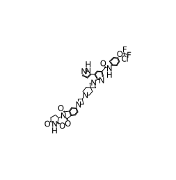 O=C1CCC(N2C(=O)c3ccc(N4CC(N5CCC6(CC5)CN(c5ncc(C(=O)Nc7ccc(OC(F)(F)Cl)cc7)cc5-c5ccn[nH]5)C6)C4)cc3C2=O)C(=O)N1